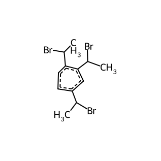 CC(Br)c1ccc(C(C)Br)c(C(C)Br)c1